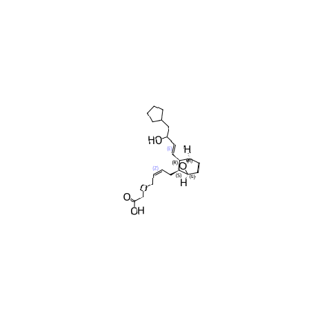 O=C(O)COC/C=C\C[C@H]1[C@@H](/C=C/C(O)CC2CCCC2)[C@H]2CC[C@@H]1O2